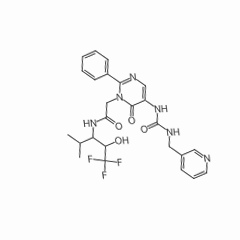 CC(C)C(NC(=O)Cn1c(-c2ccccc2)ncc(NC(=O)NCc2cccnc2)c1=O)C(O)C(F)(F)F